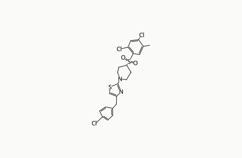 Cc1cc(S(=O)(=O)C2CCN(c3nc(Cc4ccc(Cl)cc4)cs3)CC2)c(Cl)cc1Cl